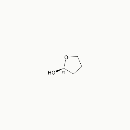 O[C@@H]1CCCO1